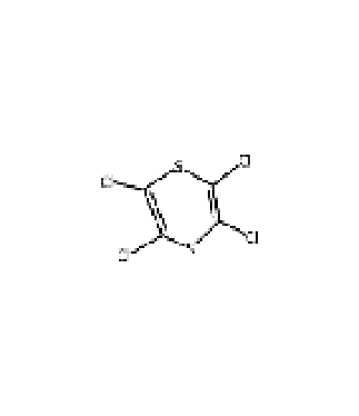 ClC1=C(Cl)SC(Cl)=C(Cl)S1